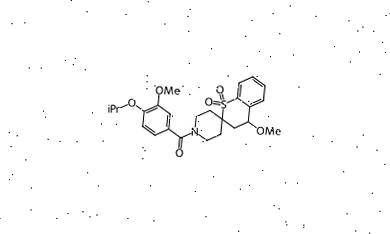 COc1cc(C(=O)N2CCC3(CC2)CC(OC)c2ccccc2S3(=O)=O)ccc1OC(C)C